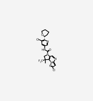 CC1(C(F)(F)F)CN(C(=O)Nc2cnc([C@H]3CCCCO3)c(Cl)c2)c2cnc3cc(Cl)nn3c21